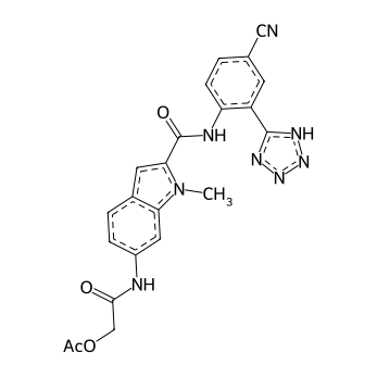 CC(=O)OCC(=O)Nc1ccc2cc(C(=O)Nc3ccc(C#N)cc3-c3nnn[nH]3)n(C)c2c1